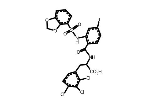 O=C(NC(Cc1ccc(Cl)c(Cl)c1Cl)C(=O)O)c1ccc(I)cc1NS(=O)(=O)c1cccc2c1OCO2